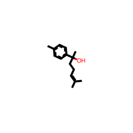 CC(C)=CCCC(C)(O)c1ccc(C)cc1